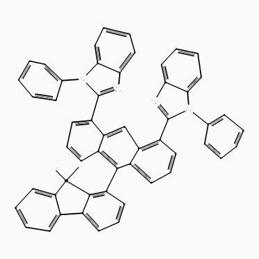 CC1(C)c2ccccc2-c2cccc(-c3c4cccc(-c5nc6ccccc6n5-c5ccccc5)c4cc4c(-c5nc6ccccc6n5-c5ccccc5)cccc34)c21